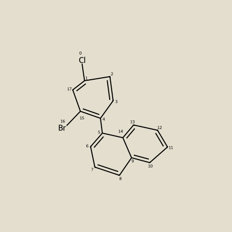 Clc1ccc(-c2cccc3ccccc23)c(Br)c1